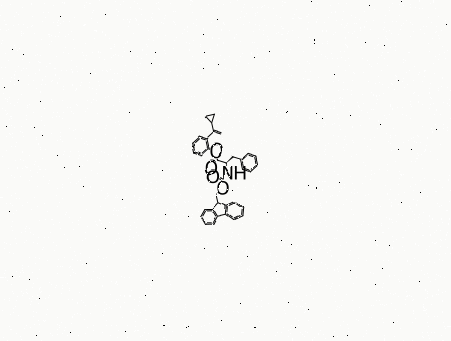 C=C(c1ccccc1OC(=O)[C@@H](Cc1ccccc1)NC(=O)OCC1c2ccccc2-c2ccccc21)C1CC1